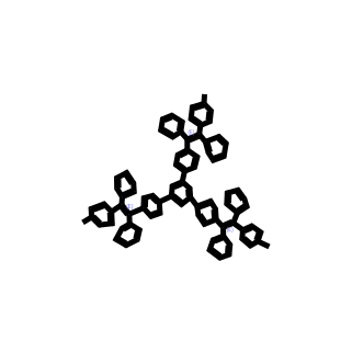 Cc1ccc(/C(=C(\c2ccccc2)c2ccc(-c3cc(-c4ccc(/C(=C(\c5ccccc5)c5ccc(C)cc5)c5ccccc5)cc4)cc(-c4ccc(/C(=C(\c5ccccc5)c5ccc(C)cc5)c5ccccc5)cc4)c3)cc2)c2ccccc2)cc1